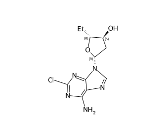 CC[C@H]1O[C@@H](n2cnc3c(N)nc(Cl)nc32)C[C@@H]1O